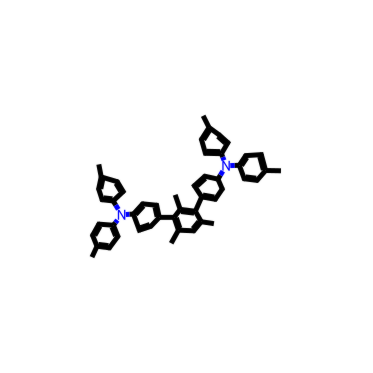 Cc1ccc(N(c2ccc(C)cc2)c2ccc(-c3c(C)cc(C)c(C4=CCC(N(c5ccc(C)cc5)c5ccc(C)cc5)C=C4)c3C)cc2)cc1